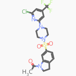 CC(=O)N1CCc2ccc(S(=O)(=O)N3CCN(c4cc(C(F)(F)F)cc(Cl)n4)CC3)cc21